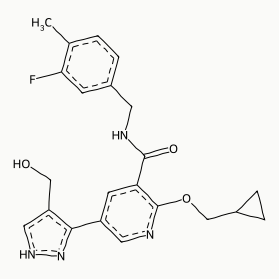 Cc1ccc(CNC(=O)c2cc(-c3n[nH]cc3CO)cnc2OCC2CC2)cc1F